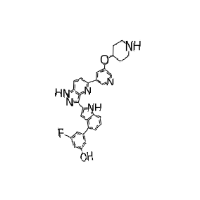 Oc1cc(F)cc(-c2cccc3[nH]c(-c4n[nH]c5ccc(-c6cncc(OC7CCNCC7)c6)nc45)cc23)c1